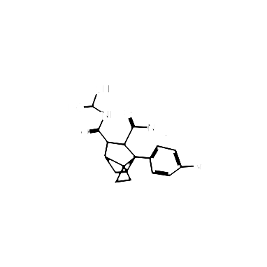 CC(C)NC(=O)C1C2CCC(c3ccc(Br)cc3)(C1C(N)=O)C21CC1